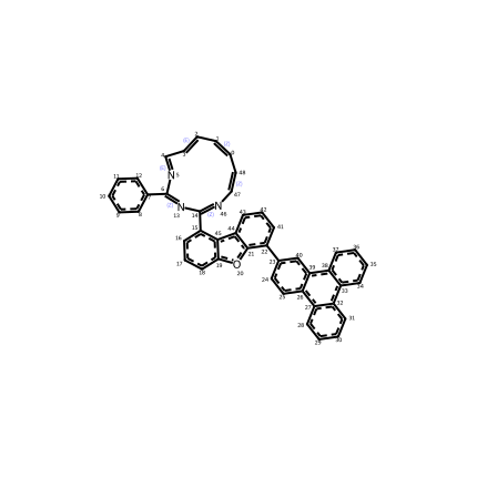 C1=C\C=C\C=N\C(c2ccccc2)=N/C(c2cccc3oc4c(-c5ccc6c7ccccc7c7ccccc7c6c5)cccc4c23)=N\C=C/1